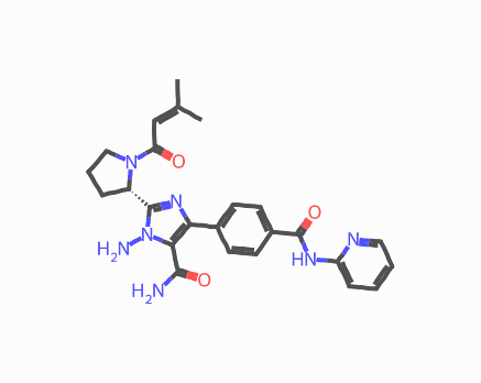 CC(C)=CC(=O)N1CCC[C@H]1c1nc(-c2ccc(C(=O)Nc3ccccn3)cc2)c(C(N)=O)n1N